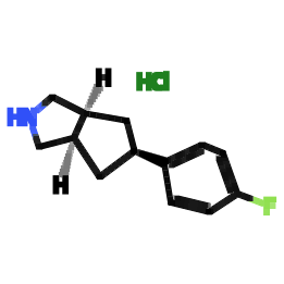 Cl.Fc1ccc([C@H]2C[C@H]3CNC[C@H]3C2)cc1